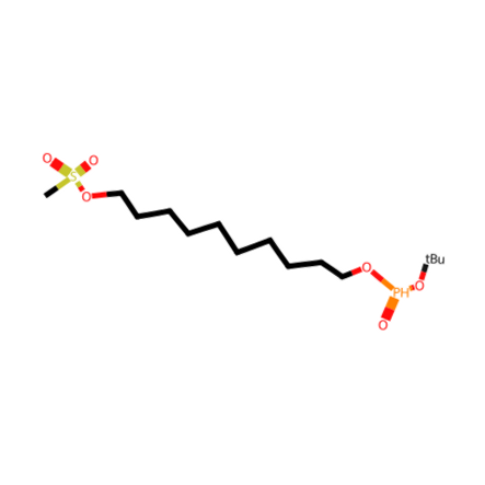 CC(C)(C)O[PH](=O)OCCCCCCCCCCOS(C)(=O)=O